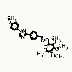 CO[C@@H]1[C@@H](OC)[C@H](C)O[C@@H](O/N=C/c2ccc(-c3ncn(-c4ccc(SC)cc4)n3)cc2)[C@@H]1OC